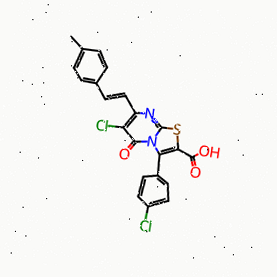 Cc1ccc(/C=C/c2nc3sc(C(=O)O)c(-c4ccc(Cl)cc4)n3c(=O)c2Cl)cc1